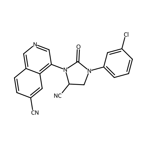 N#Cc1ccc2cncc(N3C(=O)N(c4cccc(Cl)c4)CC3C#N)c2c1